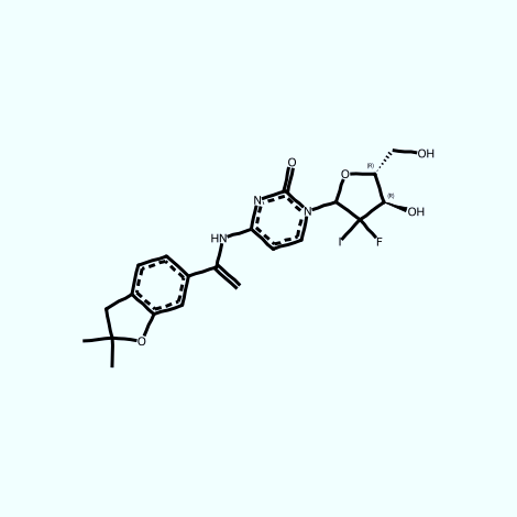 C=C(Nc1ccn(C2O[C@H](CO)[C@@H](O)C2(F)I)c(=O)n1)c1ccc2c(c1)OC(C)(C)C2